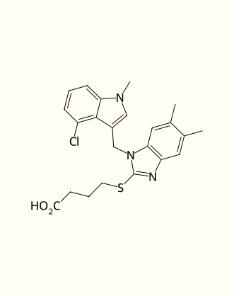 Cc1cc2nc(SCCCC(=O)O)n(Cc3cn(C)c4cccc(Cl)c34)c2cc1C